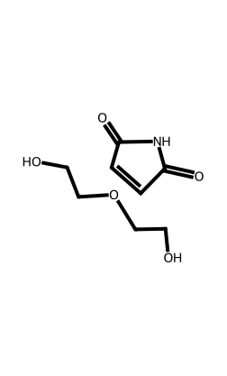 O=C1C=CC(=O)N1.OCCOCCO